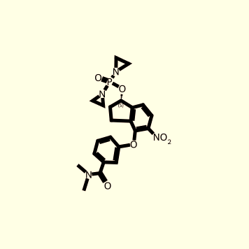 CN(C)C(=O)c1cccc(Oc2c([N+](=O)[O-])ccc3c2CC[C@@H]3OP(=O)(N2CC2)N2CC2)c1